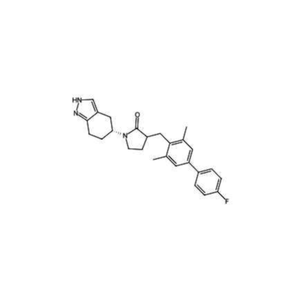 Cc1cc(-c2ccc(F)cc2)cc(C)c1CC1CCN([C@@H]2CCc3n[nH]cc3C2)C1=O